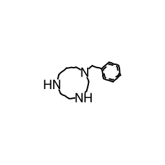 c1ccc(CN2CCCNCCNCC2)cc1